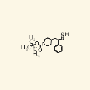 CC(C)(C)OC(=O)N1CCC(C/C(=N\O)c2ccccc2)CC1